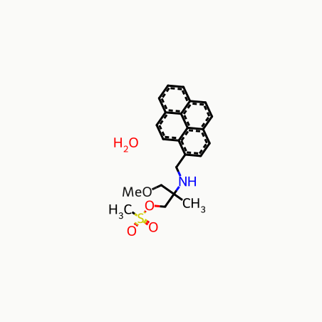 COCC(C)(COS(C)(=O)=O)NCc1ccc2ccc3cccc4ccc1c2c34.O